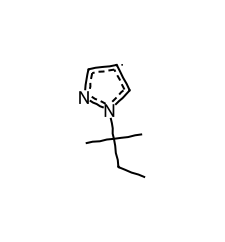 CCC(C)(C)n1c[c]cn1